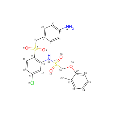 Nc1ccc(CS(=O)(=O)c2ccc(Cl)cc2NS(=O)(=O)C2Cc3ccccc3O2)cc1